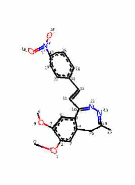 COc1cc2c(cc1OC)C(C=Cc1ccc([N+](=O)[O-])cc1)=NN=C(C)C2